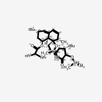 CCCC(CCC)C(=O)O[C@H]1C[C@H](C(C)(C)C)C=C2C=C[C@H](C)[C@](CC[C@@H]3C[C@H](C(C)(C)C)C(O[SiH](C)C)C(=O)O3)(O[SiH](C)C)[C@H]21